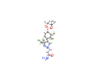 CC1(C)OB(c2ccc(-c3cn(CCC(N)=O)nc3C(F)(F)F)c(F)c2F)OC1(C)C